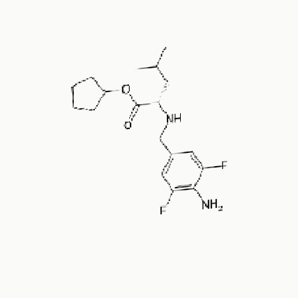 CC(C)C[C@H](NCc1cc(F)c(N)c(F)c1)C(=O)OC1CCCC1